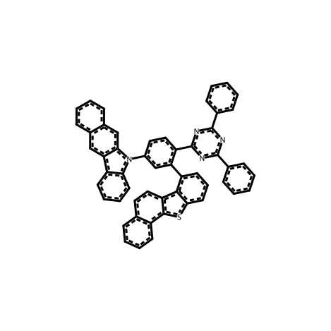 c1ccc(-c2nc(-c3ccccc3)nc(-c3ccc(-n4c5ccccc5c5cc6ccccc6cc54)cc3-c3cccc4sc5c6ccccc6ccc5c34)n2)cc1